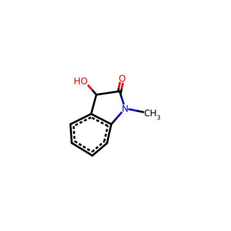 CN1C(=O)C(O)c2ccccc21